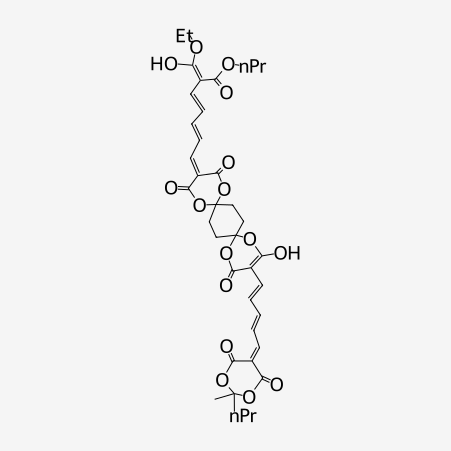 CCCOC(=O)C(/C=C/C=C/C=C1C(=O)OC2(CCC3(CC2)OC(=O)C(/C=C/C=C/C=C2C(=O)OC(C)(CCC)OC2=O)=C(O)O3)OC1=O)=C(/O)OCC